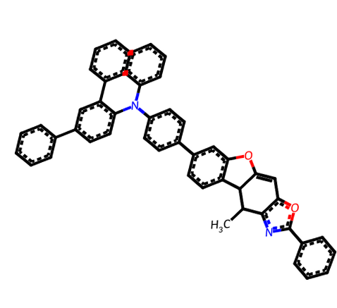 CC1c2nc(-c3ccccc3)oc2C=C2Oc3cc(-c4ccc(N(c5ccccc5)c5ccc(-c6ccccc6)cc5-c5ccccc5)cc4)ccc3C21